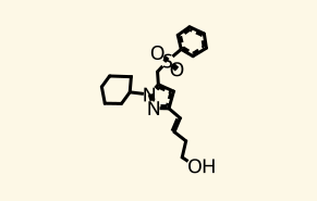 O=S(=O)(Cc1cc(C=CCCO)nn1C1CCCCC1)c1ccccc1